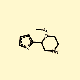 CC(C)=O.c1csc(C2CNCCO2)c1